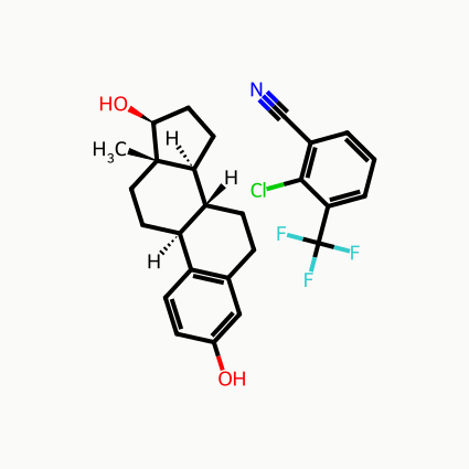 C[C@]12CC[C@@H]3c4ccc(O)cc4CC[C@H]3[C@@H]1CC[C@@H]2O.N#Cc1cccc(C(F)(F)F)c1Cl